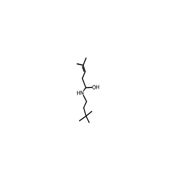 CC(C)=CCC(O)NCCC(C)(C)C